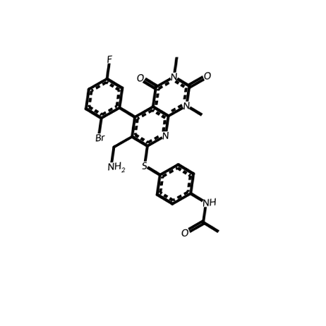 CC(=O)Nc1ccc(Sc2nc3c(c(-c4cc(F)ccc4Br)c2CN)c(=O)n(C)c(=O)n3C)cc1